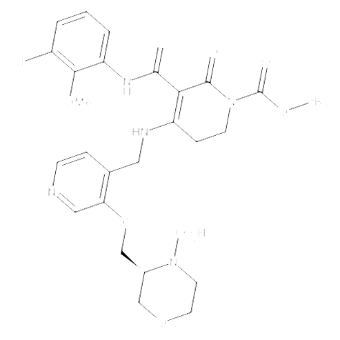 COc1c(Cl)cccc1NC(=S)C1=C(NCc2ccncc2OC[C@@H]2COCCN2C(=O)O)CCN(C(=O)OC(C)(C)C)C1=O